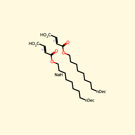 CCCCCCCCCCCCCCCCCCOC(=O)/C=C/C(=O)O.CCCCCCCCCCCCCCCCCCOC(=O)/C=C/C(=O)O.[NaH]